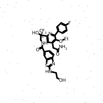 CCOc1c(CC(N)=O)cc([C@@](O)(CNC(=O)c2ccc3nc(NCCO)sc3c2)C(F)(F)F)nc1-c1ccc(F)cc1